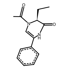 CC[C@H]1C(=O)NC(c2ccccc2)=CN1C(C)=O